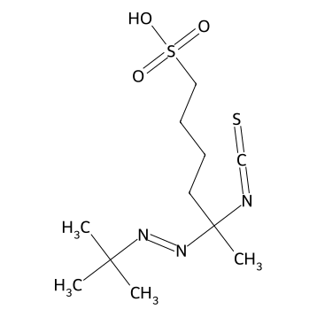 CC(C)(C)N=NC(C)(CCCCS(=O)(=O)O)N=C=S